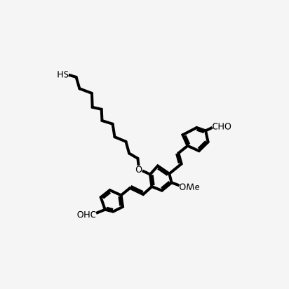 COc1cc(C=Cc2ccc(C=O)cc2)c(OCCCCCCCCCCCS)cc1C=Cc1ccc(C=O)cc1